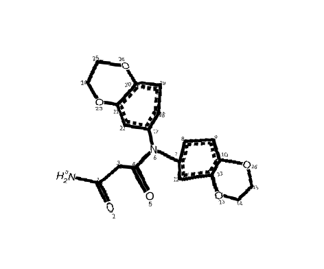 NC(=O)CC(=O)N(c1ccc2c(c1)OCCO2)c1ccc2c(c1)OCCO2